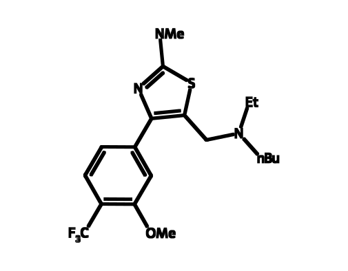 CCCCN(CC)Cc1sc(NC)nc1-c1ccc(C(F)(F)F)c(OC)c1